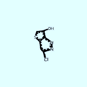 Oc1csc2cc(Cl)nnc12